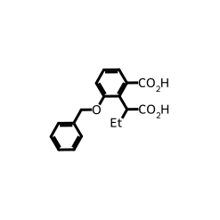 CCC(C(=O)O)c1c(OCc2ccccc2)cccc1C(=O)O